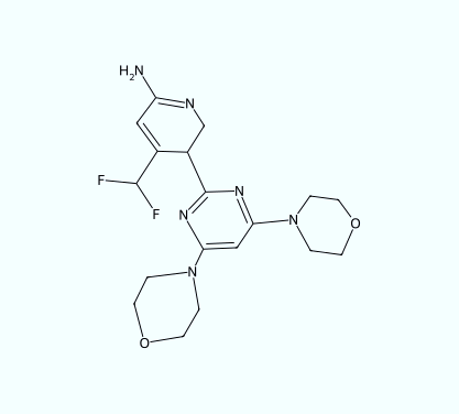 NC1=NCC(c2nc(N3CCOCC3)cc(N3CCOCC3)n2)C(C(F)F)=C1